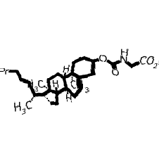 CC(C)CCC[C@@H](C)[C@H]1CC[C@H]2[C@@H]3CC=C4CC(OC(=O)NCC(=O)O)CC[C@]4(C)[C@H]3CC[C@]12C